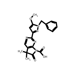 COc1cc(-c2ncc3c(n2)N(C(=O)O)C(=O)C3(C)C)nn1Cc1ccccc1